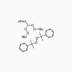 CC(C)(OOC(C)(C)c1ccccc1)c1ccccc1.CCCCCC(OOC(C)(C)C)OOC(C)(C)C